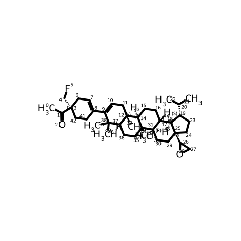 CC(=O)[C@@]1(CF)CC=C(C2=CC[C@]3(C)[C@H]4CC[C@@H]5[C@H]6[C@H](C(C)C)CC[C@]6(C6CO6)CC[C@@]5(C)[C@]4(C)CC[C@H]3C2(C)C)CC1